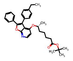 CCc1ccc(-c2c(-c3ccccc3)oc3nccc(O[C@H](C)CCCCC(=O)OC(C)(C)C)c23)cc1